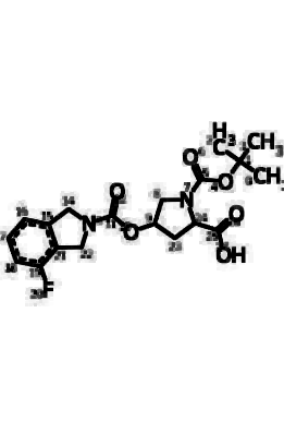 CC(C)(C)OC(=O)N1CC(OC(=O)N2Cc3cccc(F)c3C2)CC1C(=O)O